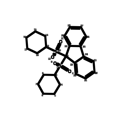 O=S(=O)(C1CCCCC1)C1(S(=O)(=O)C2CCCCC2)c2ccccc2-c2ccccc21